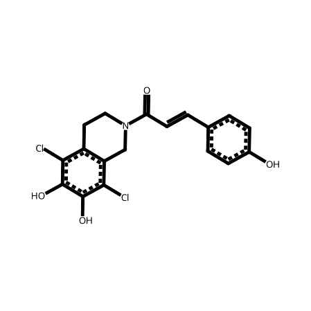 O=C(C=Cc1ccc(O)cc1)N1CCc2c(Cl)c(O)c(O)c(Cl)c2C1